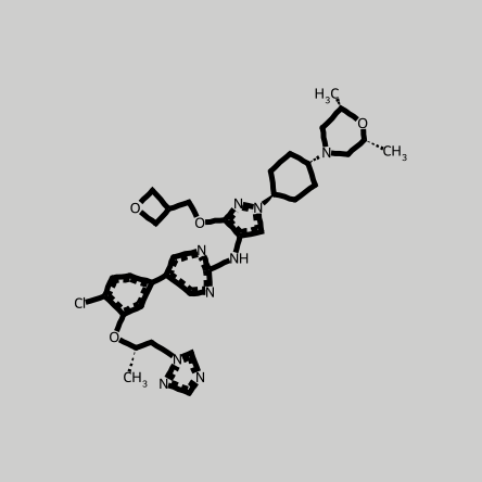 C[C@@H]1CN([C@H]2CC[C@H](n3cc(Nc4ncc(-c5ccc(Cl)c(O[C@@H](C)Cn6cncn6)c5)cn4)c(OCC4COC4)n3)CC2)C[C@H](C)O1